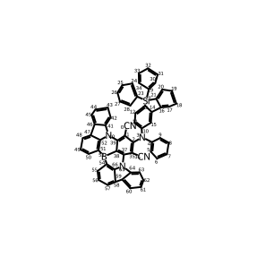 N#Cc1c(N(c2ccccc2)c2ccc3c(c2)-c2ccccc2[Si]3(c2ccccc2)c2ccccc2)c(C#N)c2c3c1-n1c4ccccc4c4cccc(c41)B3c1cccc3c4ccccc4n-2c13